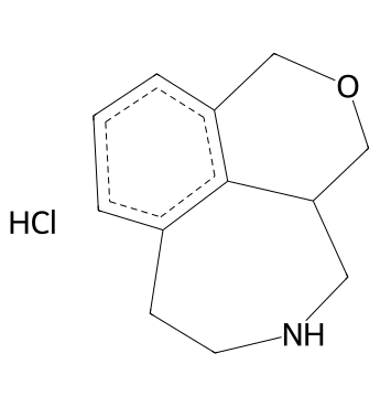 Cl.c1cc2c3c(c1)COCC3CNCC2